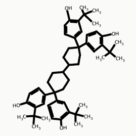 CC(C)(C)c1cc(C2(c3ccc(O)c(C(C)(C)C)c3)CCC(C3CCC(c4ccc(O)c(C(C)(C)C)c4)(c4ccc(O)c(C(C)(C)C)c4)CC3)CC2)ccc1O